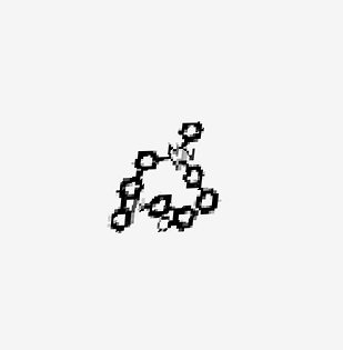 c1ccc(-c2ccc(-c3nc(-c4ccccc4)nc(-c4cccc(-c5ccc6c7ccccc7n(-c7ccc8c(c7)oc7ccccc78)c6c5)c4)n3)cc2)cc1